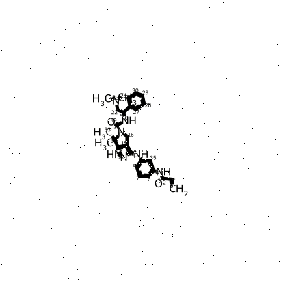 C=CC(=O)Nc1cccc(Nc2n[nH]c3c2CN(C(=O)NC(CN(C)C)c2ccccc2)C3(C)C)c1